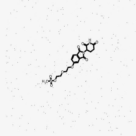 CS(=O)(=O)OCCOCCOc1ccc2c(c1)C(=O)N(C1CCC(=O)NC1=O)C2=O